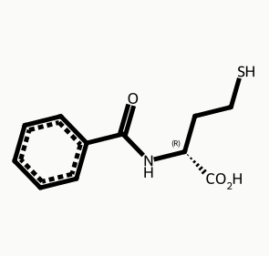 O=C(N[C@H](CCS)C(=O)O)c1ccccc1